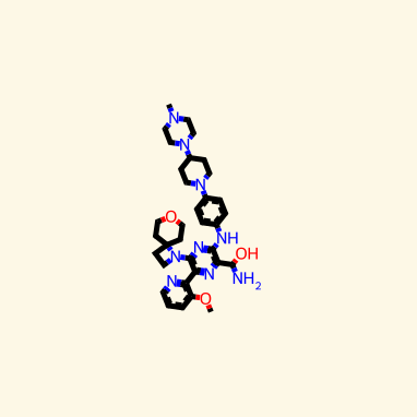 COc1cccnc1-c1nc(C(N)O)c(Nc2ccc(N3CCC(N4CCN(C)CC4)CC3)cc2)nc1N1CCC12CCOCC2